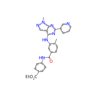 CCOC(=O)c1ccc(NC(=O)c2ccc(C)c(Nc3nc(-c4cccnc4)nc4c3cnn4C)c2)cc1